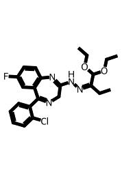 CCOC(OCC)C(CC)=NNC1=Nc2ccc(F)cc2C(c2ccccc2Cl)=NC1